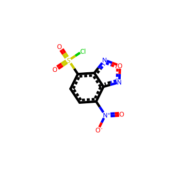 O=[N+]([O-])c1ccc(S(=O)(=O)Cl)c2nonc12